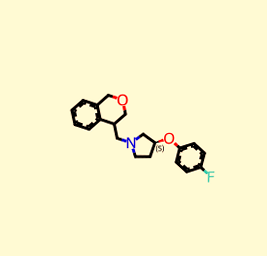 Fc1ccc(O[C@H]2CCN(CC3COCc4ccccc43)C2)cc1